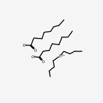 CCCCCCCC(=O)[O-].CCCCCCCC(=O)[O-].CCC[CH2][Zr+2][CH2]CCC